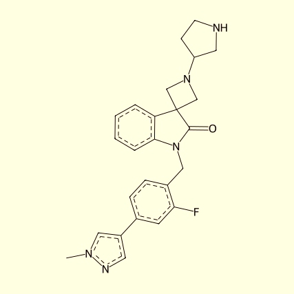 Cn1cc(-c2ccc(CN3C(=O)C4(CN(C5CCNC5)C4)c4ccccc43)c(F)c2)cn1